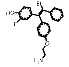 CCC(=C(c1ccc(OCCN)cc1)c1ccc(O)c(F)c1)c1ccccc1